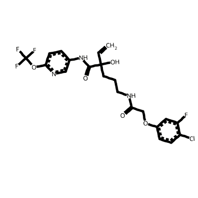 C=CC(O)(CCCNC(=O)COc1ccc(Cl)c(F)c1)C(=O)Nc1ccc(OC(F)(F)F)nc1